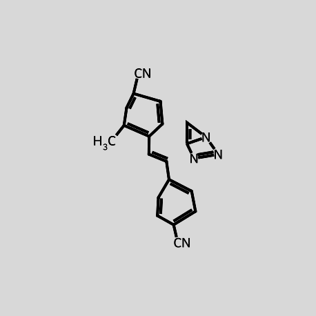 Cc1cc(C#N)ccc1C=Cc1ccc(C#N)cc1.c1c2nnn1-2